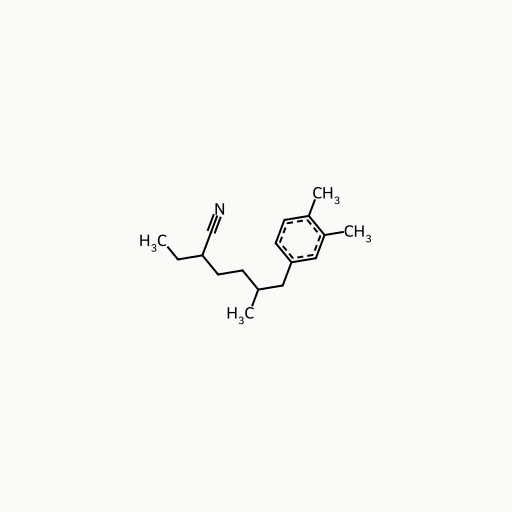 CCC(C#N)CCC(C)Cc1ccc(C)c(C)c1